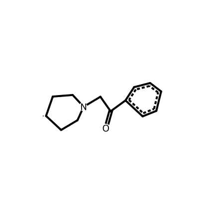 O=C(CN1CC[CH]CC1)c1ccccc1